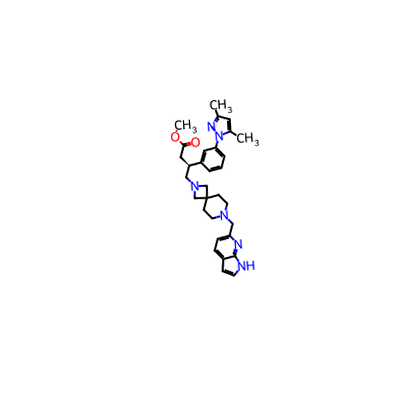 COC(=O)C[C@H](CN1CC2(CCN(Cc3ccc4cc[nH]c4n3)CC2)C1)c1cccc(-n2nc(C)cc2C)c1